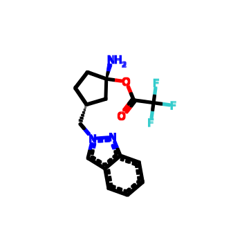 N[C@]1(OC(=O)C(F)(F)F)CC[C@@H](Cn2cc3ccccc3n2)C1